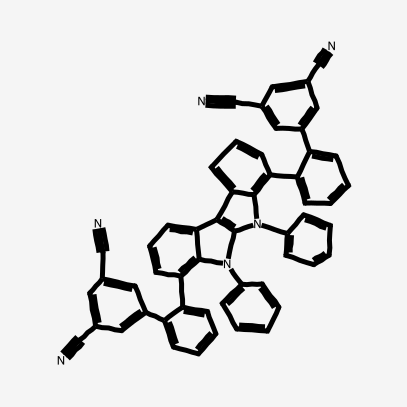 N#Cc1cc(C#N)cc(-c2ccccc2-c2cccc3c4c5cccc(-c6ccccc6-c6cc(C#N)cc(C#N)c6)c5n(-c5ccccc5)c4n(-c4ccccc4)c23)c1